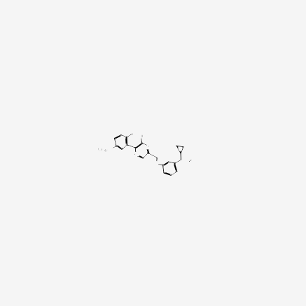 COc1ccc(F)c(-c2ncc(COc3cccc([C@@H](CC(=O)O)C4CC4)c3)nc2Br)c1